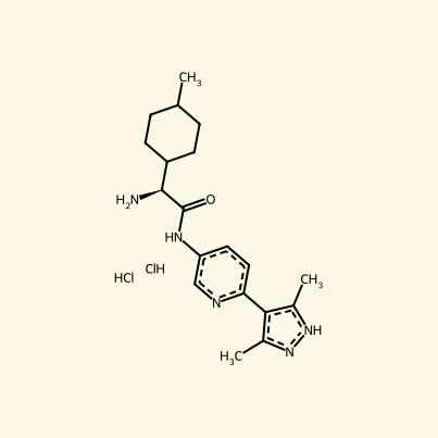 Cc1n[nH]c(C)c1-c1ccc(NC(=O)[C@@H](N)C2CCC(C)CC2)cn1.Cl.Cl